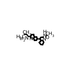 CC(=O)Nc1cc(-c2ccc3nc(C(N)CC(C)C)ccc3c2)c2ccccc2n1